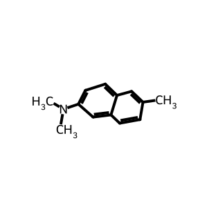 Cc1ccc2cc(N(C)C)ccc2c1